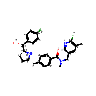 Cc1cc(CN(C)C(=O)c2ccc(C[C@@H]3CC[C@H]([C@H](O)c4ccc(Cl)cc4)N3)cc2)cnc1F